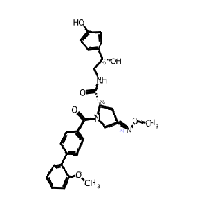 CO/N=C1\C[C@@H](C(=O)NC[C@@H](O)c2ccc(O)cc2)N(C(=O)c2ccc(-c3ccccc3OC)cc2)C1